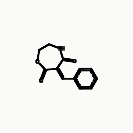 O=C1NCCOC(=O)/C1=C/c1ccccc1